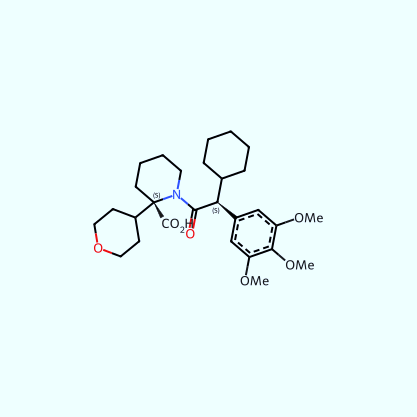 COc1cc([C@@H](C(=O)N2CCCC[C@@]2(C(=O)O)C2CCOCC2)C2CCCCC2)cc(OC)c1OC